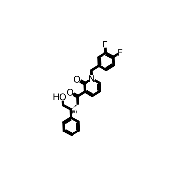 O=C(C[C@@H](CO)c1ccccc1)c1cccn(Cc2ccc(F)c(F)c2)c1=O